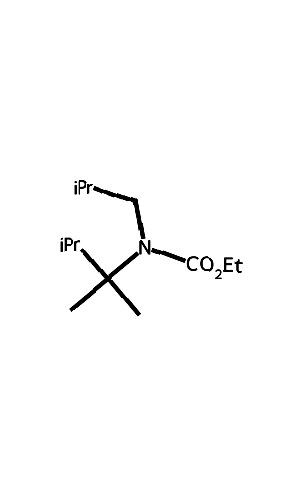 CCOC(=O)N(CC(C)C)C(C)(C)C(C)C